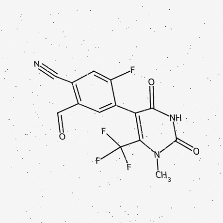 Cn1c(C(F)(F)F)c(-c2cc(C=O)c(C#N)cc2F)c(=O)[nH]c1=O